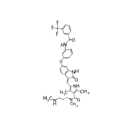 CNCCCN(C)C(=O)c1c(C)[nH]c(/C=C2\C(=O)Nc3cc(Oc4cccc(NC(=O)c5cccc(C(F)(F)F)c5)c4)ccc32)c1C